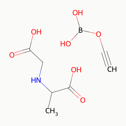 C#COB(O)O.CC(NCC(=O)O)C(=O)O